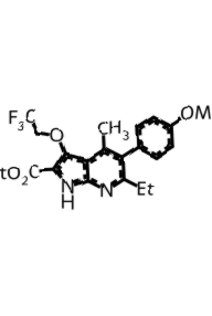 CCOC(=O)c1[nH]c2nc(CC)c(-c3ccc(OC)cc3)c(C)c2c1OCC(F)(F)F